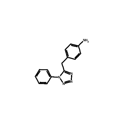 Nc1ccc(Cc2nnnn2-c2ccccc2)cc1